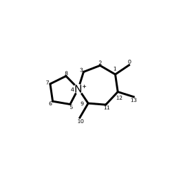 CC1CC[N+]2(CCCC2)C(C)CC1C